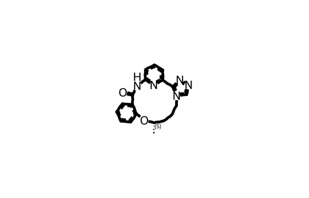 C[C@H]1CCCn2cnnc2-c2cccc(n2)NC(=O)c2ccccc2O1